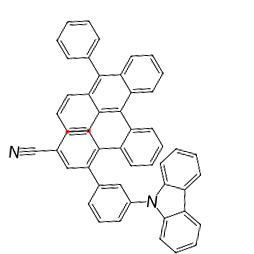 N#Cc1ccc(-c2ccccc2-c2c3ccccc3c(-c3ccccc3)c3ccccc23)c(-c2cccc(-n3c4ccccc4c4ccccc43)c2)c1